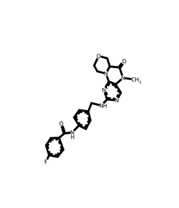 CN1C(=O)C2COCCN2c2nc(NCc3ccc(NC(=O)c4ccc(F)cc4)cc3)ncc21